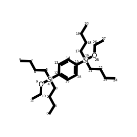 CCCC[Si](CCCC)(OCC)c1ccc([Si](CCCC)(CCCC)OCC)cc1